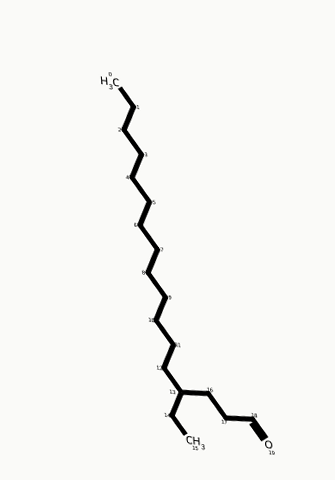 CCCCCCCCCCCCCC(CC)CCC=O